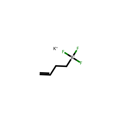 C=CCC[B-](F)(F)F.[K+]